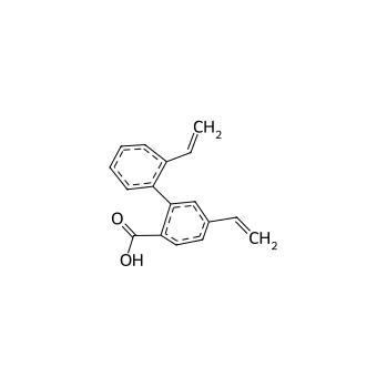 C=Cc1ccc(C(=O)O)c(-c2ccccc2C=C)c1